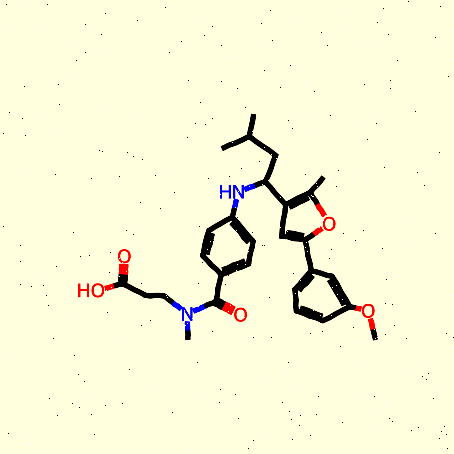 COc1cccc(-c2cc(C(CC(C)C)Nc3ccc(C(=O)N(C)CCC(=O)O)cc3)c(C)o2)c1